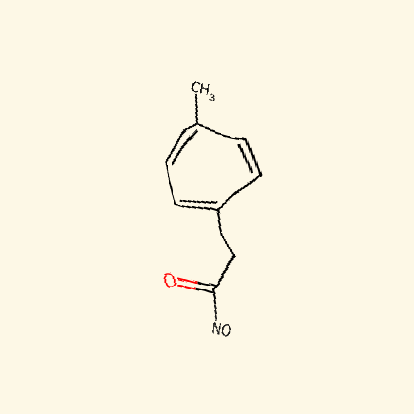 Cc1ccc(CC(=O)N=O)cc1